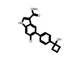 COC(=O)c1c[nH]c2cc(Cl)c(-c3ccc(C4(O)CCC4)cc3)cc12